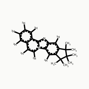 [2H]c1c([2H])c([2H])c2c(c1[2H])c([2H])c([2H])n1c2nc2c([2H])c3c(c([2H])c21)C(C)(C)C(C)(C)C3(C)C